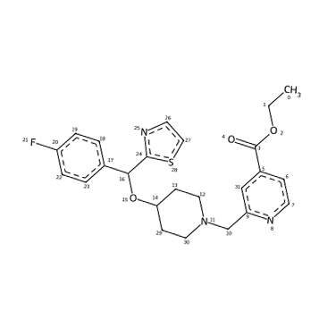 CCOC(=O)c1ccnc(CN2CCC(OC(c3ccc(F)cc3)c3nccs3)CC2)c1